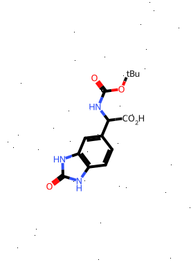 CC(C)(C)OC(=O)NC(C(=O)O)c1ccc2[nH]c(=O)[nH]c2c1